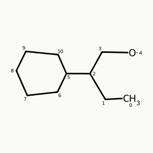 CCC(C[O])C1CCCCC1